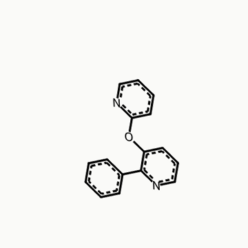 c1ccc(-c2ncccc2Oc2ccccn2)cc1